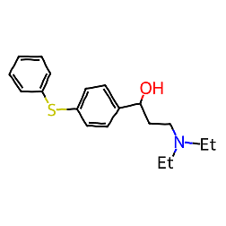 CCN(CC)CCC(O)c1ccc(Sc2ccccc2)cc1